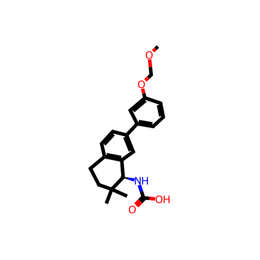 COCOc1cccc(-c2ccc3c(c2)[C@@H](NC(=O)O)C(C)(C)CC3)c1